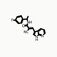 CC(NC(=O)/C(C#N)=C/c1c[nH]c2ncccc12)c1ccc(F)cc1